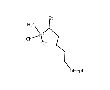 CCCCCCCCCCCC(CC)[N+](C)(C)Cl